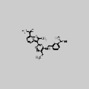 CCc1nnc(-c2c(C)nn3c(C(N)=O)cccc23)nc1NCc1cccc(B(O)O)c1